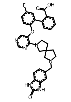 O=C(O)c1ccccc1-c1cc(F)ccc1Oc1cncnc1N1CCC2(CCN(Cc3ccc4[nH]c(=O)[nH]c4c3)C2)C1